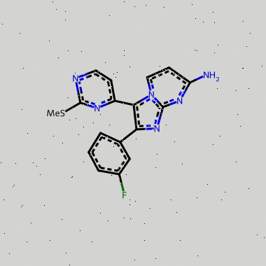 CSc1nccc(-c2c(-c3cccc(F)c3)nc3nc(N)ccn23)n1